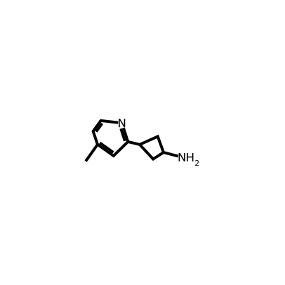 Cc1ccnc(C2CC(N)C2)c1